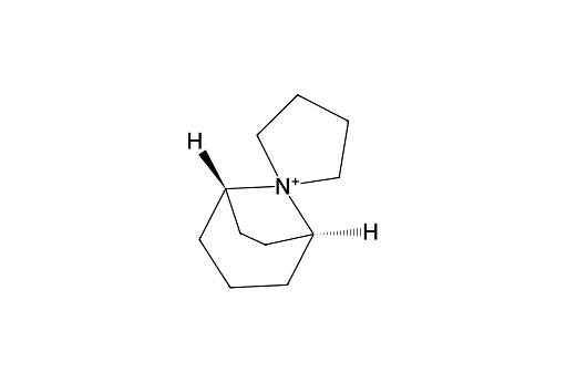 C1C[C@H]2CC[C@H](C1)[N+]21CCCC1